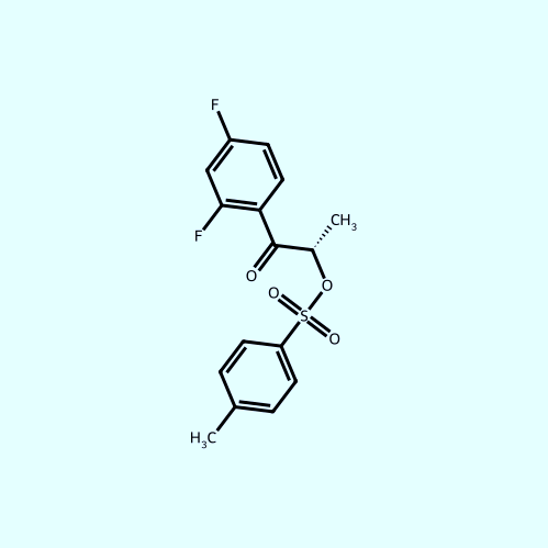 Cc1ccc(S(=O)(=O)O[C@@H](C)C(=O)c2ccc(F)cc2F)cc1